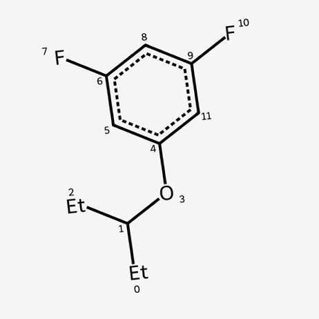 CCC(CC)Oc1cc(F)cc(F)c1